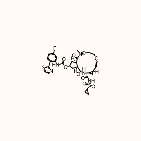 CN1CCCC/C=C\[C@@H]2C[C@@]2(C(=O)NS(=O)(=O)C2CC2)NC(=O)[C@@H]2C[C@@H](OC(=O)Nc3cc(F)ccc3-c3nccs3)C[C@H]2C1=O